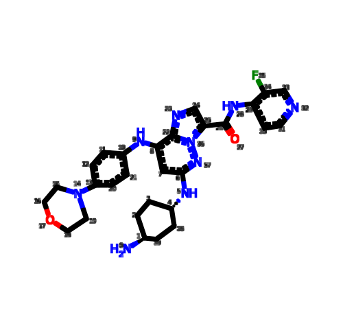 N[C@H]1CC[C@H](Nc2cc(Nc3ccc(N4CCOCC4)cc3)c3ncc(C(=O)Nc4ccncc4F)n3n2)CC1